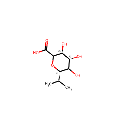 CC(C)[C@@H]1OC(C(=O)O)[C@@H](O)[C@H](O)C1O